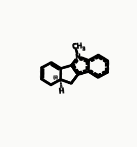 Cn1c2c(c3ccccc31)C[C@H]1CC=CC=C21